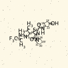 Cc1cc(N[C@@H](C)C(F)(F)F)ncc1-c1sc(C(=O)N[C@@H]2CC[C@@H](O)C2)nc1C(=O)N1C2CCC1CC2